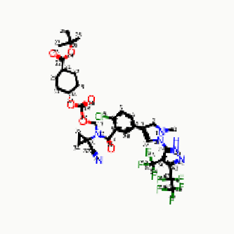 CN1CC(c2ccc(Cl)c(C(=O)N(COC(=O)O[C@H]3CC[C@H](C(=O)OC(C)(C)C)CC3)C3(C#N)CC3)c2)=CN1c1[nH]nc(C(F)(F)C(F)(F)F)c1C(F)(F)F